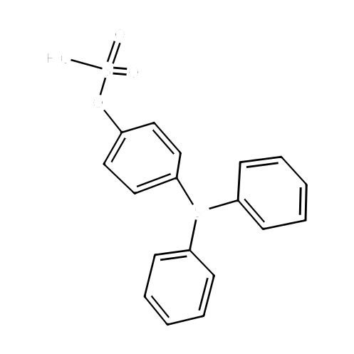 O=S(=O)(Oc1ccc([S+](c2ccccc2)c2ccccc2)cc1)C(F)(F)F